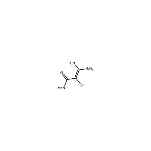 CNC(=O)C(Br)=C(N)N